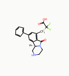 O=C(O)C(F)(F)F.O=C1c2c(cc(-c3ccccc3)cc2C(F)(F)F)[C@@H]2CNCCN12